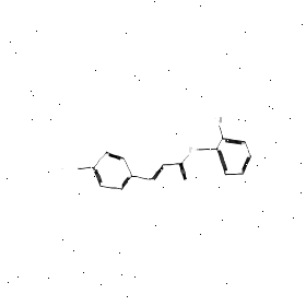 Nc1ccccc1NC(=O)/C=C/c1ccc(C=O)cc1